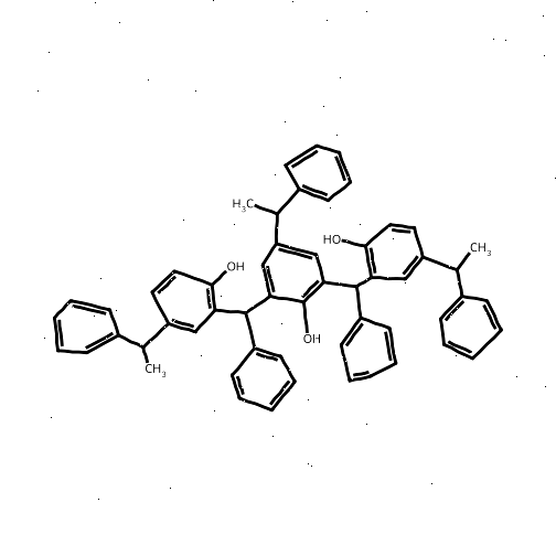 CC(c1ccccc1)c1ccc(O)c(C(c2ccccc2)c2cc(C(C)c3ccccc3)cc(C(c3ccccc3)c3cc(C(C)c4ccccc4)ccc3O)c2O)c1